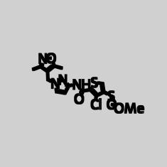 COOSc1csc(C(=O)Nc2ccn(Cc3c(C)noc3C)n2)c1Cl